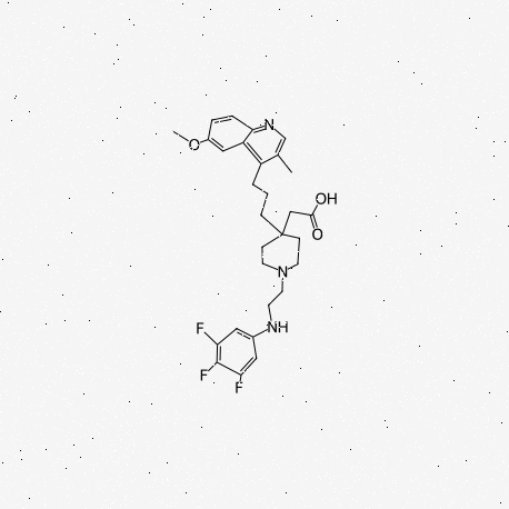 COc1ccc2ncc(C)c(CCCC3(CC(=O)O)CCN(CCNc4cc(F)c(F)c(F)c4)CC3)c2c1